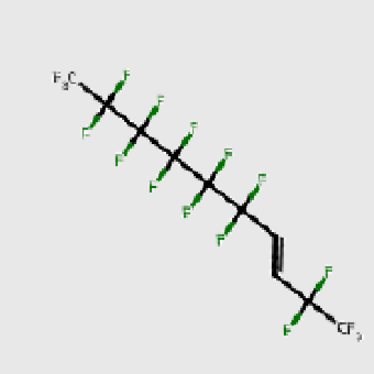 FC(F)(F)C(F)(F)/C=C/C(F)(F)C(F)(F)C(F)(F)C(F)(F)C(F)(F)C(F)(F)F